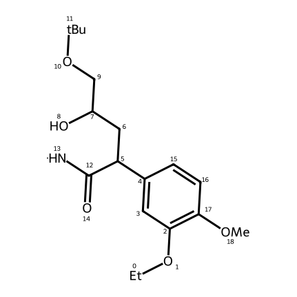 CCOc1cc(C(CC(O)COC(C)(C)C)C([NH])=O)ccc1OC